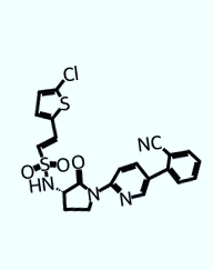 N#Cc1ccccc1-c1ccc(N2CC[C@H](NS(=O)(=O)C=Cc3ccc(Cl)s3)C2=O)nc1